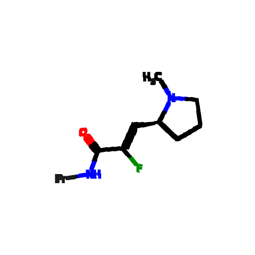 CC(C)NC(=O)/C(F)=C/[C@@H]1CCCN1C